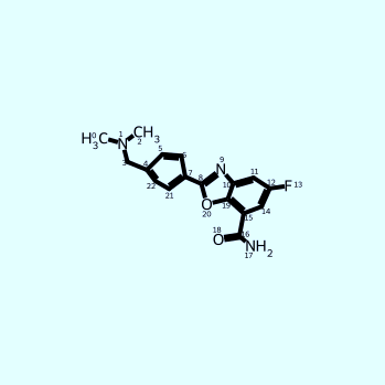 CN(C)Cc1ccc(-c2nc3cc(F)cc(C(N)=O)c3o2)cc1